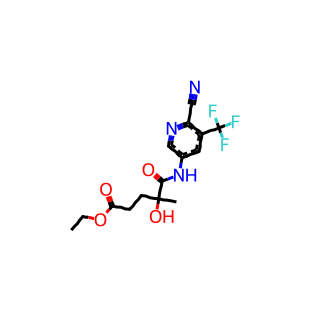 CCOC(=O)CCC(C)(O)C(=O)Nc1cnc(C#N)c(C(F)(F)F)c1